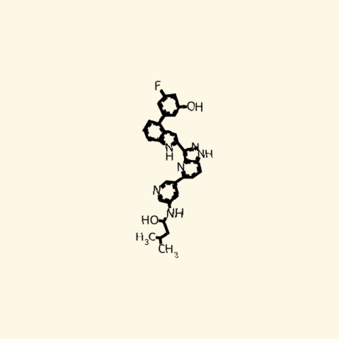 CC(C)CC(O)Nc1cncc(-c2ccc3[nH]nc(-c4cc5c(-c6cc(O)cc(F)c6)cccc5[nH]4)c3n2)c1